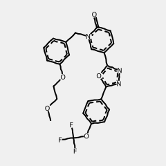 COCCOc1cccc(Cn2cc(-c3nnc(-c4ccc(OC(F)(F)F)cc4)o3)ccc2=O)c1